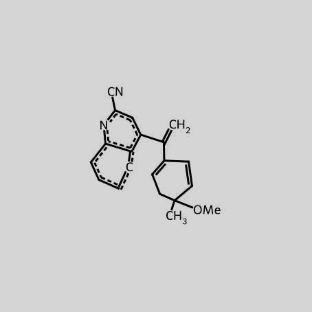 C=C(C1=CCC(C)(OC)C=C1)c1cc(C#N)nc2ccccc12